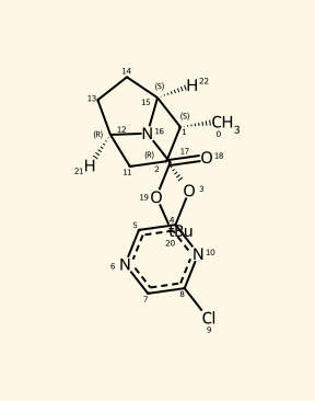 C[C@@H]1[C@H](Oc2cncc(Cl)n2)C[C@H]2CC[C@@H]1N2C(=O)OC(C)(C)C